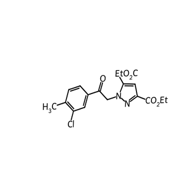 CCOC(=O)c1cc(C(=O)OCC)n(CC(=O)c2ccc(C)c(Cl)c2)n1